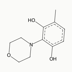 Cc1ccc(O)c(N2CCOCC2)c1O